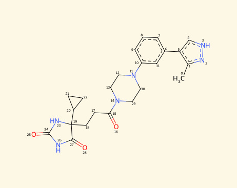 Cc1n[nH]cc1-c1cccc(N2CCN(C(=O)CCC3(C4CC4)NC(=O)NC3=O)CC2)c1